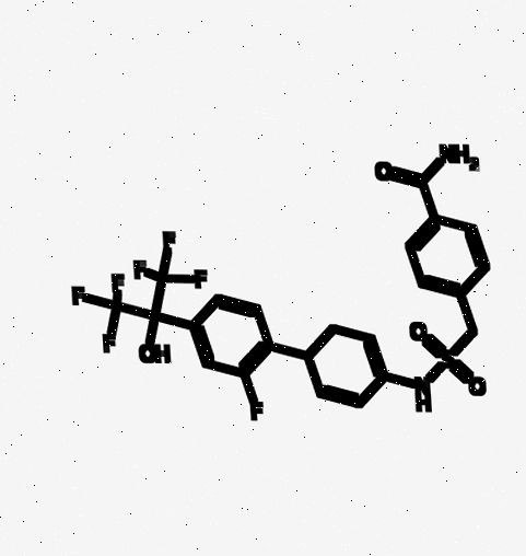 NC(=O)c1ccc(CS(=O)(=O)NC2=CCC(c3ccc(C(O)(C(F)(F)F)C(F)(F)F)cc3F)C=C2)cc1